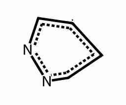 [c]1ccnnc1